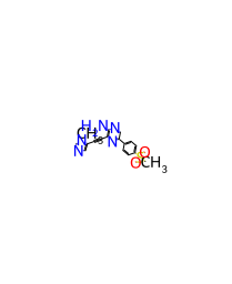 Cn1cncc1C#Cc1nc(-c2ccc(S(C)(=O)=O)cc2)cnc1N